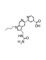 CCCCn1cc(CNC(N)=O)c2cc(-c3cc(C(=O)O)ccn3)ncc21